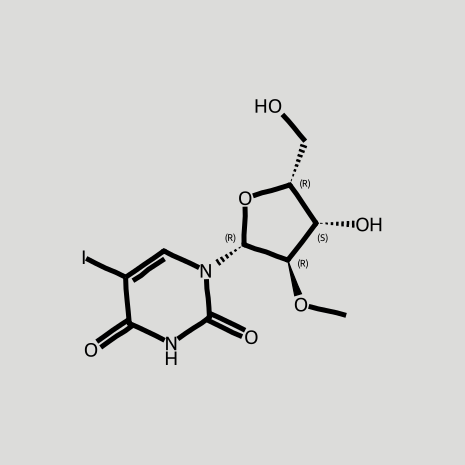 CO[C@@H]1[C@@H](O)[C@@H](CO)O[C@H]1n1cc(I)c(=O)[nH]c1=O